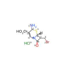 Cl.NC1S[C@@H]2C(CBr)C(=O)N2C=C1C(=O)O